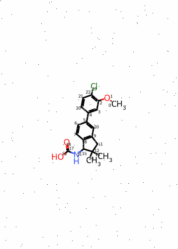 COc1cc(-c2ccc3c(c2)CC(C)(C)C3NC(=O)O)ccc1Cl